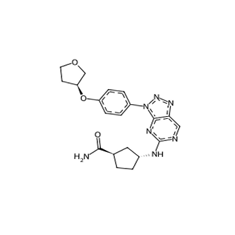 NC(=O)[C@@H]1CC[C@@H](Nc2ncc3nnn(-c4ccc(O[C@H]5CCOC5)cc4)c3n2)C1